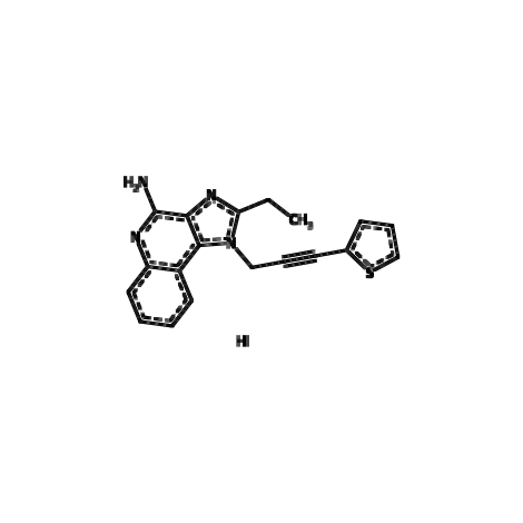 CCc1nc2c(N)nc3ccccc3c2n1CC#Cc1cccs1.I